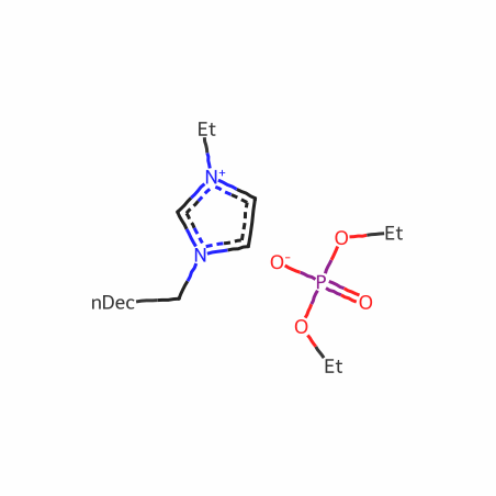 CCCCCCCCCCCn1cc[n+](CC)c1.CCOP(=O)([O-])OCC